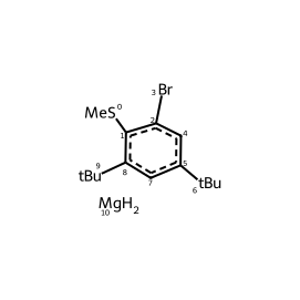 CSc1c(Br)cc(C(C)(C)C)cc1C(C)(C)C.[MgH2]